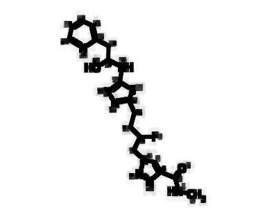 CNC(=O)c1cn(CC(F)CCc2nnc(NC(O)Cc3ccccn3)s2)nn1